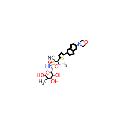 C/C(=C(/C#N)S(=O)(=O)NC[C@H]1OC(O)[C@H](C)[C@@H](O)[C@@H]1O)c1ccc(-c2ccc3cc(N4CCOCC4)ccc3c2)s1